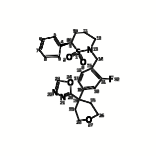 O=S1(=O)[C@@H](c2ccccc2)CCCN1Cc1ccc(C2(c3nnco3)CCOCC2)cc1F